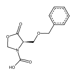 O=C1OCN(C(=O)O)[C@@H]1COCc1ccccc1